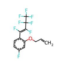 C=CCOc1cc(F)ccc1C(F)=C(F)C(F)(F)C(F)(F)F